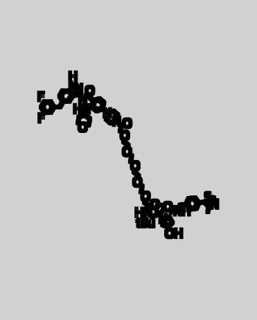 Cc1ncsc1-c1ccc(CNC(=O)[C@@H]2C[C@@H](O)CN2C(=O)C(NC(=O)COCCOCCOCCOCCOCC(=O)N2CCN(c3ccc(C(=O)Nc4n[nH]c5ccc(Cc6cc(F)cc(F)c6)cc45)c(NC4CCOCC4)c3)CC2)C(C)(C)C)cc1